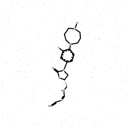 N=C/N=C\NC[C@H]1CN(c2ccc(N3CCC[S+]([O-])CCC3)c(F)c2)C(=O)O1